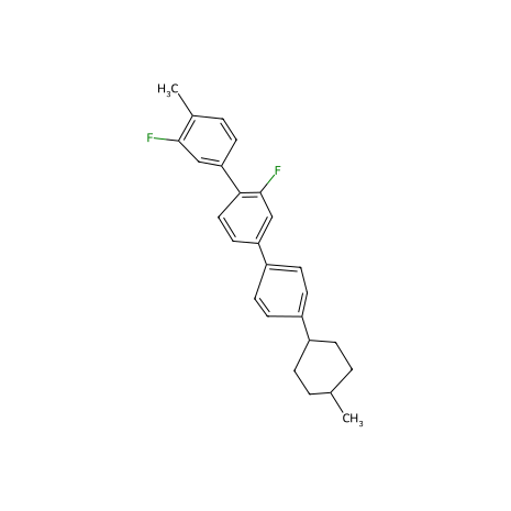 Cc1ccc(-c2ccc(-c3ccc(C4CCC(C)CC4)cc3)cc2F)cc1F